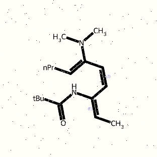 C/C=C(\C=C/C(=CCCC)N(C)C)NC(=O)C(C)(C)C